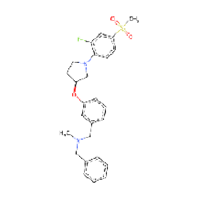 CN(Cc1ccccc1)Cc1cccc(O[C@H]2CCN(c3ccc(S(C)(=O)=O)cc3F)C2)c1